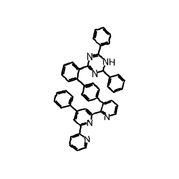 c1ccc(C2=NC(c3ccccc3-c3ccc(-c4cccnc4-c4cc(-c5ccccc5)cc(-c5ccccn5)n4)cc3)=NC(c3ccccc3)N2)cc1